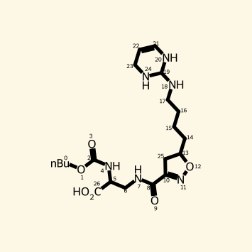 CCCCOC(=O)NC(CNC(=O)C1=NOC(CCCCNC2NC=CCN2)C1)C(=O)O